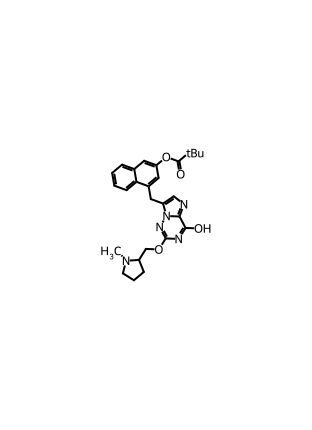 CN1CCCC1COc1nc(O)c2ncc(Cc3cc(OC(=O)C(C)(C)C)cc4ccccc34)n2n1